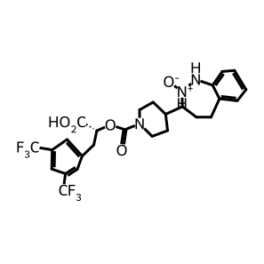 O=C(O)[C@@H](Cc1cc(C(F)(F)F)cc(C(F)(F)F)c1)OC(=O)N1CCC(C2CCc3ccccc3N[NH+]2[O-])CC1